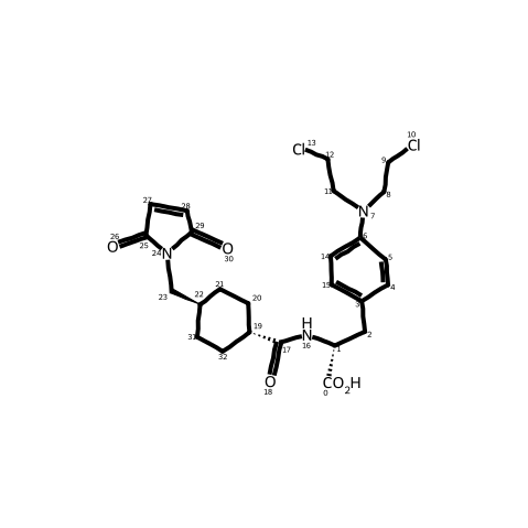 O=C(O)[C@@H](Cc1ccc(N(CCCl)CCCl)cc1)NC(=O)[C@H]1CC[C@H](CN2C(=O)C=CC2=O)CC1